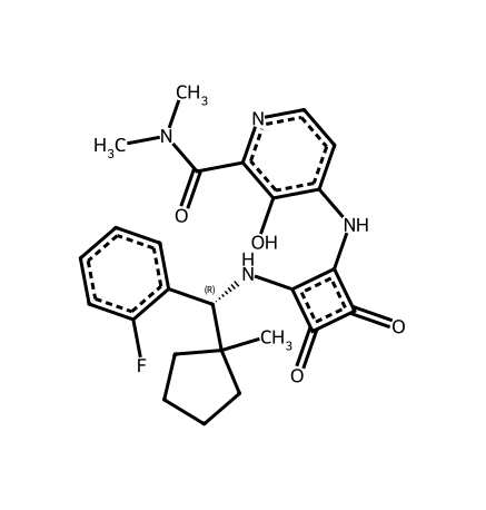 CN(C)C(=O)c1nccc(Nc2c(N[C@@H](c3ccccc3F)C3(C)CCCC3)c(=O)c2=O)c1O